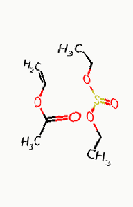 C=COC(C)=O.CCOS(=O)OCC